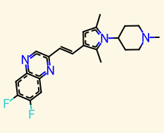 Cc1cc(C=Cc2cnc3cc(F)c(F)cc3n2)c(C)n1C1CCN(C)CC1